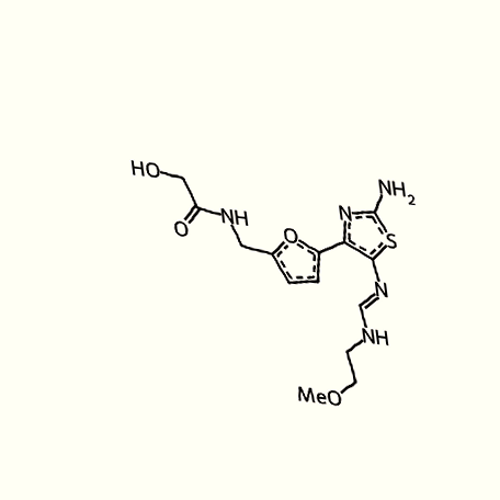 COCCNC=Nc1sc(N)nc1-c1ccc(CNC(=O)CO)o1